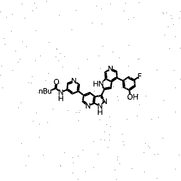 CCCCC(=O)Nc1cncc(-c2cnc3[nH]nc(-c4cc5c(-c6cc(O)cc(F)c6)cncc5[nH]4)c3c2)c1